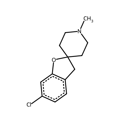 CN1CCC2(CC1)Cc1ccc(Cl)cc1O2